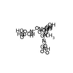 CN(CCCC(=O)Nc1cccc(CCNC[C@H](O)c2ccc(O)c3[nH]c(=O)ccc23)c1)C(=O)CCN1CCC(OC(=O)Nc2ccccc2-c2ccccc2)CC1.O=C(O)C(F)(F)F.O=C(O)C(F)(F)F